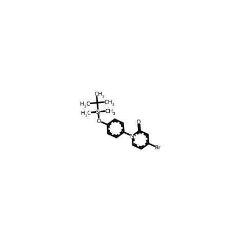 CC(C)(C)[Si](C)(C)Oc1ccc(-n2ccc(Br)cc2=O)cc1